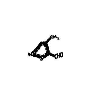 Cc1cnsc1C=O